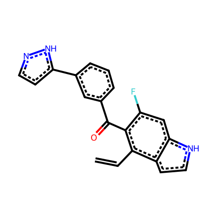 C=Cc1c(C(=O)c2cccc(-c3ccn[nH]3)c2)c(F)cc2[nH]ccc12